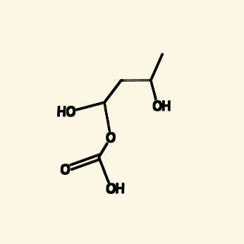 CC(O)CC(O)OC(=O)O